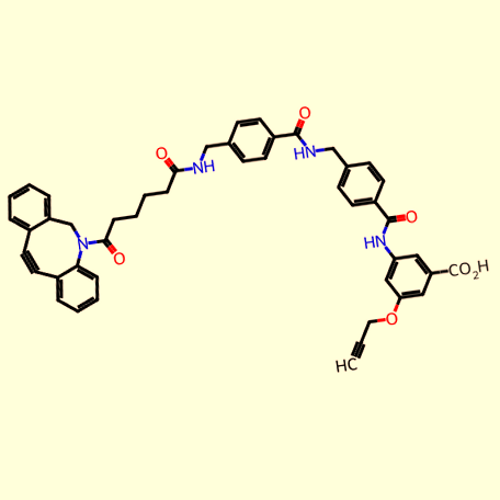 C#CCOc1cc(NC(=O)c2ccc(CNC(=O)c3ccc(CNC(=O)CCCCC(=O)N4Cc5ccccc5C#Cc5ccccc54)cc3)cc2)cc(C(=O)O)c1